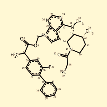 CC(C(=O)OCn1ccc2c(N(C)[C@H]3CN(C(=O)CC#N)CC[C@H]3C)ncnc21)c1ccc(-c2ccccc2)c(F)c1